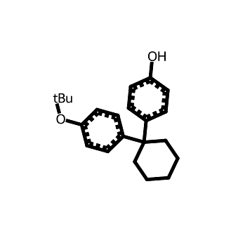 CC(C)(C)Oc1ccc(C2(c3ccc(O)cc3)CCCCC2)cc1